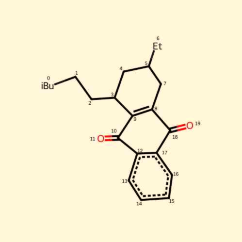 CCC(C)CCC1CC(CC)CC2=C1C(=O)c1ccccc1C2=O